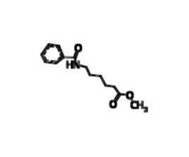 COC(=O)CCCCCNC(=O)c1ccccc1